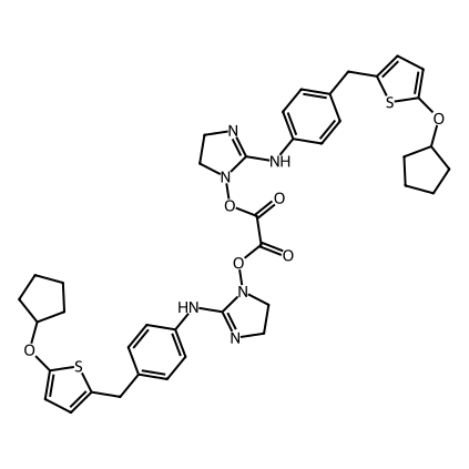 O=C(ON1CCN=C1Nc1ccc(Cc2ccc(OC3CCCC3)s2)cc1)C(=O)ON1CCN=C1Nc1ccc(Cc2ccc(OC3CCCC3)s2)cc1